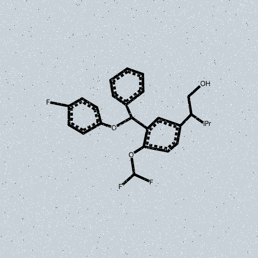 CC(C)C(CO)c1ccc(OC(F)F)c(C(Oc2ccc(F)cc2)c2ccccc2)c1